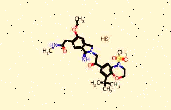 Br.CCOc1cc2c(cc1CC(=O)NC)C(=N)N(CC(=O)c1cc3c(c(C(C)(C)C)c1)OCCN3S(C)(=O)=O)C2